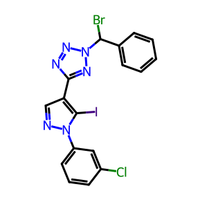 Clc1cccc(-n2ncc(-c3nnn(C(Br)c4ccccc4)n3)c2I)c1